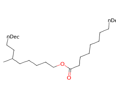 CCCCCCCCCCCCCCCCCC(=O)OCCCCCC(C)CCCCCCCCCCCC